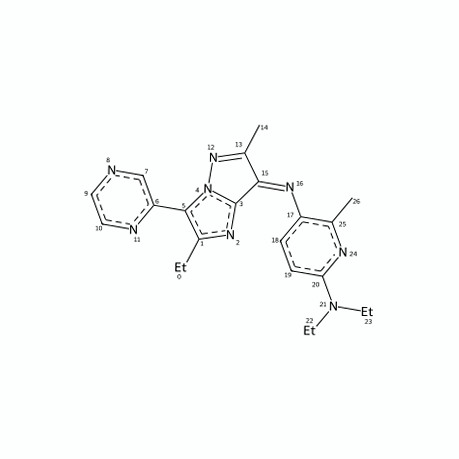 CCc1nc2n(c1-c1cnccn1)N=C(C)/C2=N/c1ccc(N(CC)CC)nc1C